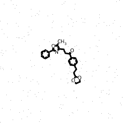 Cc1oc(-c2ccccc2)nc1CCC(=O)c1ccc(CCC2OCCO2)cc1